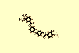 Cc1ccc(C(=O)Oc2ccc(Oc3ccc(OC(=O)c4ccc(C)c(C)c4)cc3)cc2)cc1C